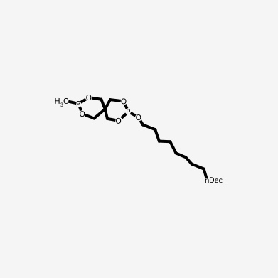 CCCCCCCCCCCCCCCCCCOP1OCC2(COP(C)OC2)CO1